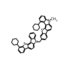 Cn1c2cccc(C3CCCCC3)c2c2c3sc4cc(Cn5c6ccccc6c6c7sc8c(C9CCCCC9)cccc8c7ccc65)ccc4c3ccc21